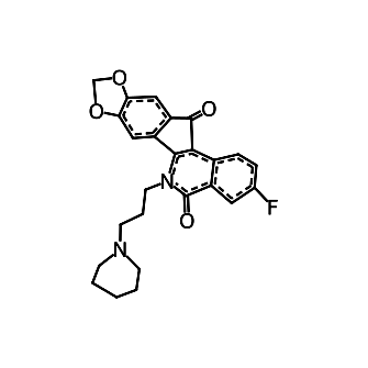 O=C1c2cc3c(cc2-c2c1c1ccc(F)cc1c(=O)n2CCCN1CCCCC1)OCO3